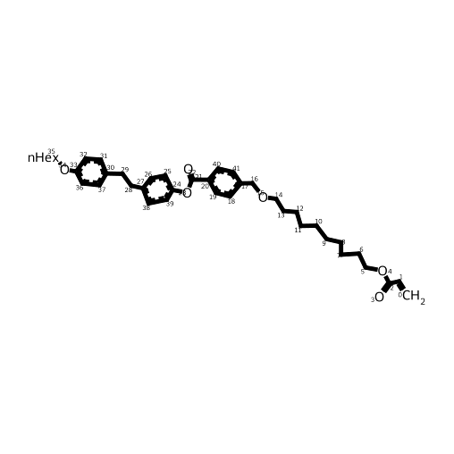 C=CC(=O)OCCCCCCCCCCOCc1ccc(C(=O)Oc2ccc(CCc3ccc(OCCCCCC)cc3)cc2)cc1